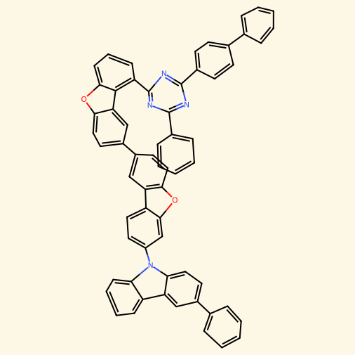 c1ccc(-c2ccc(-c3nc(-c4ccccc4)nc(-c4cccc5oc6ccc(-c7ccc8oc9cc(-n%10c%11ccccc%11c%11cc(-c%12ccccc%12)ccc%11%10)ccc9c8c7)cc6c45)n3)cc2)cc1